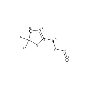 CC1(C)CC(SCC=O)=NO1